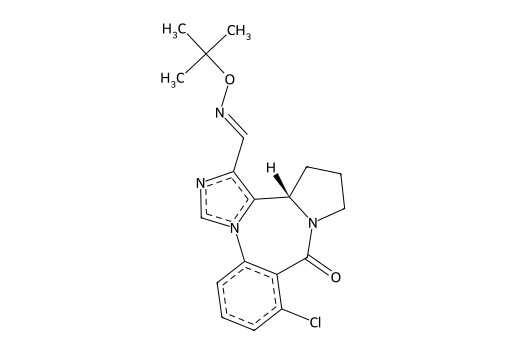 CC(C)(C)ON=Cc1ncn2c1[C@@H]1CCCN1C(=O)c1c(Cl)cccc1-2